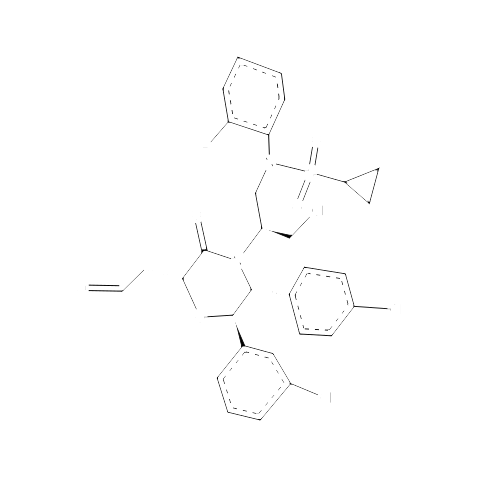 CC[C@H](CN(c1ccccc1F)S(=O)(=O)C1CC1)N1C(=O)[C@@H](CC=O)O[C@H](c2cccc(Cl)c2)[C@H]1c1ccc(Cl)cc1